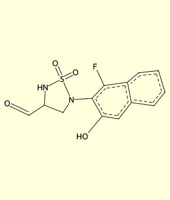 O=CC1CN(c2c(O)cc3ccccc3c2F)S(=O)(=O)N1